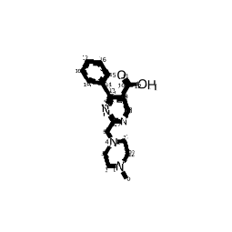 CN1CCN(Cc2ncc(C(=O)O)c(-c3ccccc3)n2)CC1